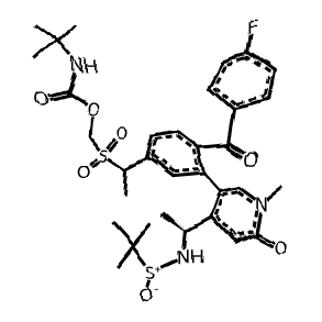 CC(c1ccc(C(=O)c2ccc(F)cc2)c(-c2cn(C)c(=O)cc2[C@H](C)N[S+]([O-])C(C)(C)C)c1)S(=O)(=O)COC(=O)NC(C)(C)C